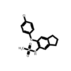 CS(=O)(=O)Nc1cc2c(cc1Oc1ccc(Cl)cc1)CCC2